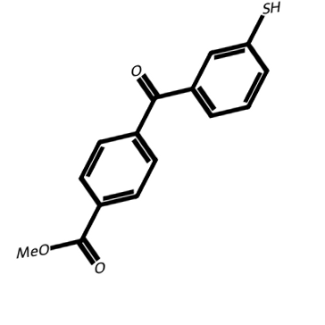 COC(=O)c1ccc(C(=O)c2cccc(S)c2)cc1